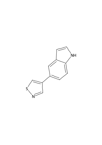 c1cc2cc(-c3cnsc3)ccc2[nH]1